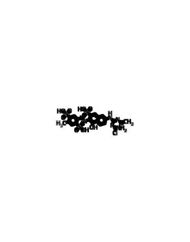 C=C(Cl)/N=C(\N=C(/N)Cl)Nc1ccc2c(O)c(/N=N/c3cc(S(=O)(=O)O)c(C)cc3S(=O)(=O)O)c(S(=O)(=O)O)cc2c1